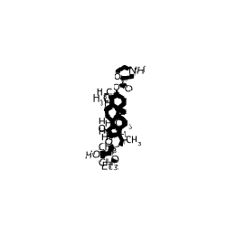 CCO[C@@H]([C@H]1C[C@@H](C)[C@H]2[C@H](O1)[C@H](O)[C@@]1(C)[C@@H]3CC[C@H]4C(C)(C)[C@@H](OC(=O)[C@H]5CNCCO5)CCC45C[C@@]35CC[C@]21C)C(C)(C)O